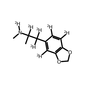 [2H]c1c([2H])c(C([2H])([2H])C([2H])(C)N([2H])C)c([2H])c2c1OCO2